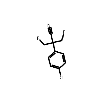 N#CC(CF)(CF)c1ccc(Cl)cc1